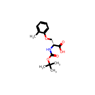 Cc1ccccc1OC[C@@H](NC(=O)OC(C)(C)C)C(=O)O